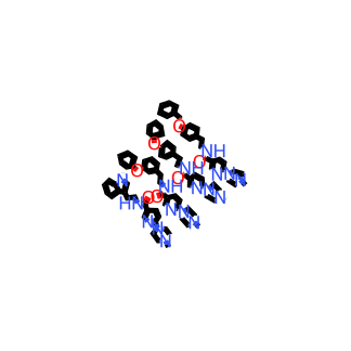 CN1CCN(c2ccc(C(=O)NCCc3ccc(OCc4ccccc4)cc3)cn2)CC1.CN1CCN(c2ccc(C(=O)NCCc3ccc(Oc4ccccc4)cc3)cn2)CC1.CN1CCN(c2ccc(C(=O)NCCc3cccc(Oc4ccccc4)c3)cn2)CC1.CN1CCN(c2ccc(C(=O)NCCc3cn(C)c4ccccc34)cn2)CC1